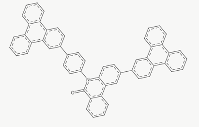 O=c1c2ccccc2c2cc(-c3ccc4c5ccccc5c5ccccc5c4c3)ccc2n1-c1ccc(-c2ccc3c4ccccc4c4ccccc4c3c2)cc1